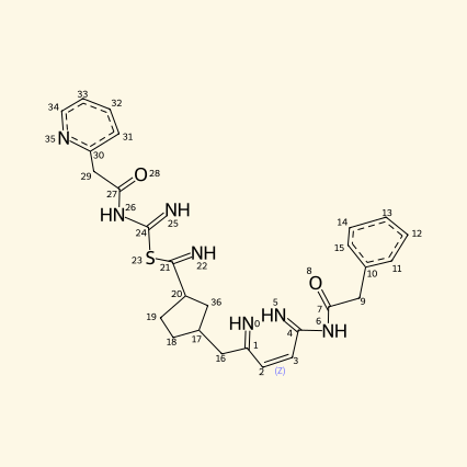 N=C(/C=C\C(=N)NC(=O)Cc1ccccc1)CC1CCC(C(=N)SC(=N)NC(=O)Cc2ccccn2)C1